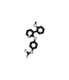 COc1ccccc1-c1cccnc1Oc1ccc(OC(F)F)cc1